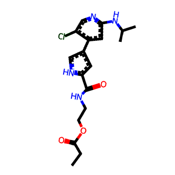 CCC(=O)OCCNC(=O)c1cc(-c2cc(NC(C)C)ncc2Cl)c[nH]1